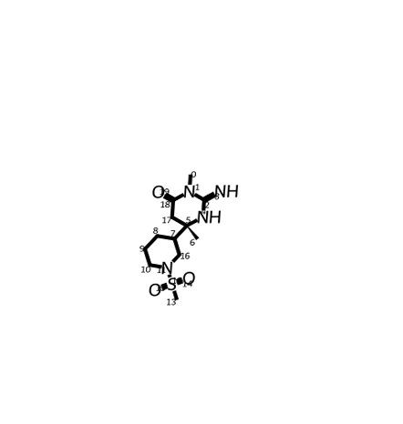 CN1C(=N)N[C@](C)(C2CCCN(S(C)(=O)=O)C2)CC1=O